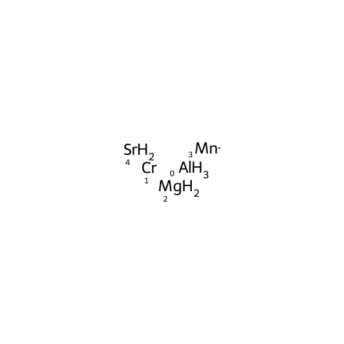 [AlH3].[Cr].[MgH2].[Mn].[SrH2]